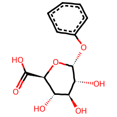 O=C(O)[C@H]1O[C@H](Oc2ccccc2)[C@H](O)[C@@H](O)[C@@H]1O